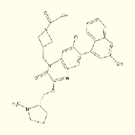 CN1CCC[C@H]1COc1nc2cc(-c3cc(O)cc4ccccc34)c(Cl)cc2n(CC2CN(C(=O)O)C2)c1=O